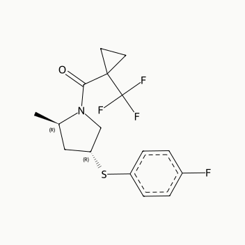 C[C@@H]1C[C@@H](Sc2ccc(F)cc2)CN1C(=O)C1(C(F)(F)F)CC1